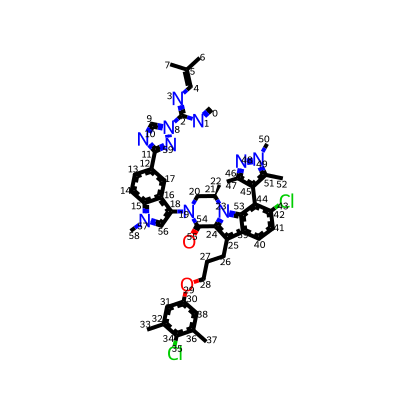 C=N/C(=N\C=C(C)C)n1cnc(-c2ccc3c(c2)c(N2C[C@@H](C)n4c(c(CCCOc5cc(C)c(Cl)c(C)c5)c5ccc(Cl)c(-c6c(C)nn(C)c6C)c54)C2=O)cn3C)n1